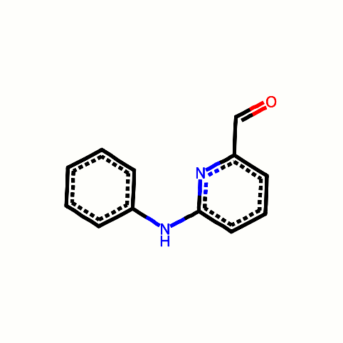 O=Cc1cccc(Nc2ccccc2)n1